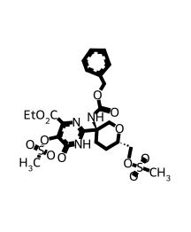 CCOC(=O)c1nc([C@@]2(NC(=O)OCc3ccccc3)CC[C@@H](COS(C)(=O)=O)OC2)[nH]c(=O)c1OS(C)(=O)=O